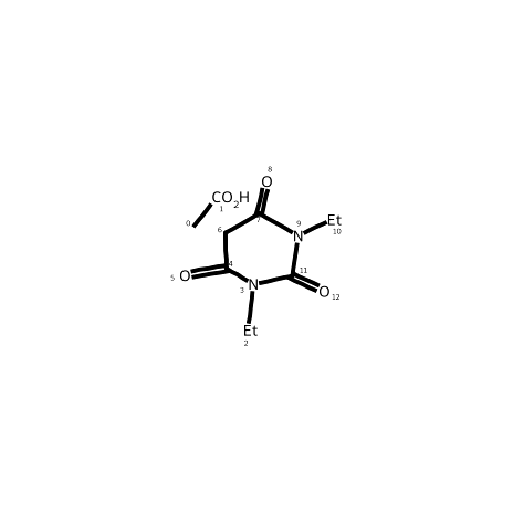 CC(=O)O.CCN1C(=O)CC(=O)N(CC)C1=O